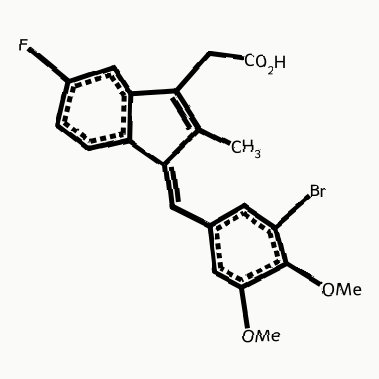 COc1cc(C=C2C(C)=C(CC(=O)O)c3cc(F)ccc32)cc(Br)c1OC